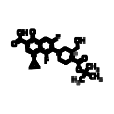 CC(C)(C)OC(=O)N1CCN(c2c(F)cc3c(=O)c(C(=O)O)cn(C4CC4)c3c2F)C[C@H]1CO